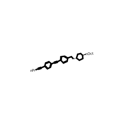 CCCC#Cc1ccc(C#Cc2ccc(CC[C@H]3CC[C@H](CCCCCCCC)CC3)cc2)cc1